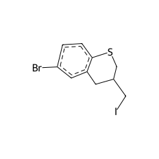 Brc1ccc2c(c1)CC(CI)CS2